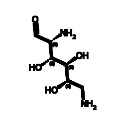 NC[C@@H](O)[C@H](O)[C@H](O)[C@@H](N)C=O